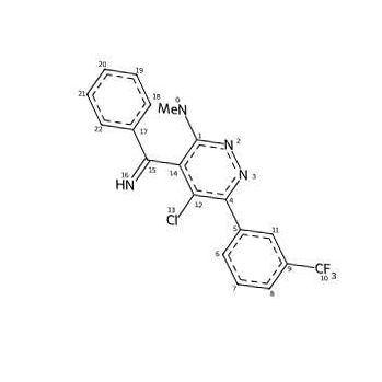 CNc1nnc(-c2cccc(C(F)(F)F)c2)c(Cl)c1C(=N)c1ccccc1